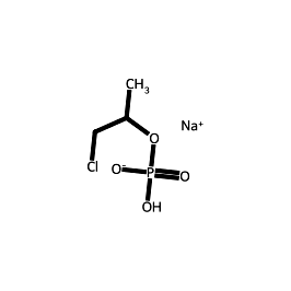 CC(CCl)OP(=O)([O-])O.[Na+]